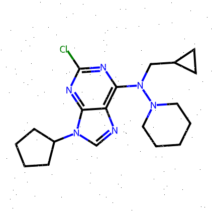 Clc1nc(N(CC2CC2)N2CCCCC2)c2ncn(C3CCCC3)c2n1